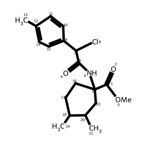 COC(=O)C1(NC(=O)C(Cl)c2ccc(C)cc2)CCC(C)C(C)C1